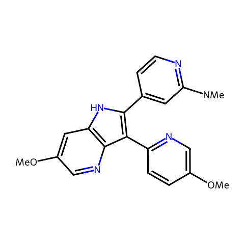 CNc1cc(-c2[nH]c3cc(OC)cnc3c2-c2ccc(OC)cn2)ccn1